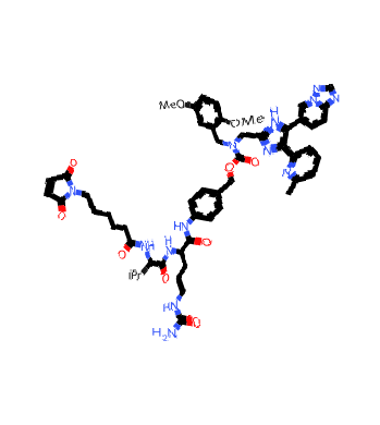 COc1ccc(OC)c(CN(Cc2nc(-c3cccc(C)n3)c(-c3ccc4ncnn4c3)[nH]2)C(=O)OCc2ccc(NC(=O)C(CCCNC(N)=O)NC(=O)C(NC(=O)CCCCCN3C(=O)C=CC3=O)C(C)C)cc2)c1